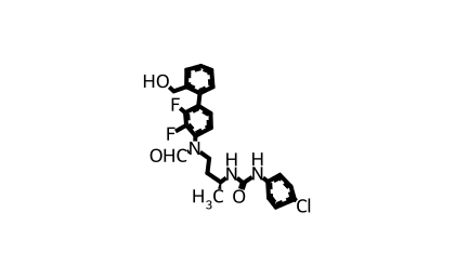 C[C@@H](CCN(C=O)c1ccc(-c2ccccc2CO)c(F)c1F)NC(=O)Nc1ccc(Cl)cc1